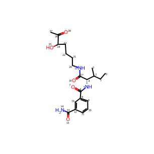 CCC(C)[C@H](NC(=O)c1cccc(C(N)=O)c1)C(=O)NCCCCC(O)C(C)=O